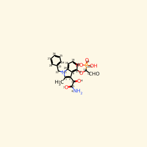 Cc1c(C(=O)C(N)=O)c2c(OC(C=O)P(=O)(O)O)cccc2n1Cc1ccccc1